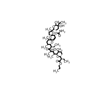 C=CCOC(=O)[C@H](CC)[C@H]1CCC(C)[C@H]([C@@H](C)[C@H](O)[C@H](C)C(=O)[C@H](CC)[C@H]2O[C@]3(C=C[C@@H](OC(N)=O)[C@]4(CC[C@@](C)([C@H]5CC[C@](O)(CC)[C@H](C)O5)O4)O3)[C@H](C)C[C@@H]2C)O1